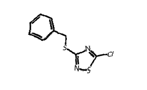 Clc1nc(SCc2ccccc2)ns1